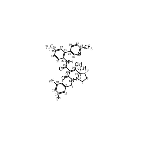 C[C@]12CCCN1N(Cc1cc(F)cc(F)c1)C(=O)C(C(=O)Nc1ccc(C(F)(F)F)cc1-c1ccc(C(F)(F)F)nc1)=C2O